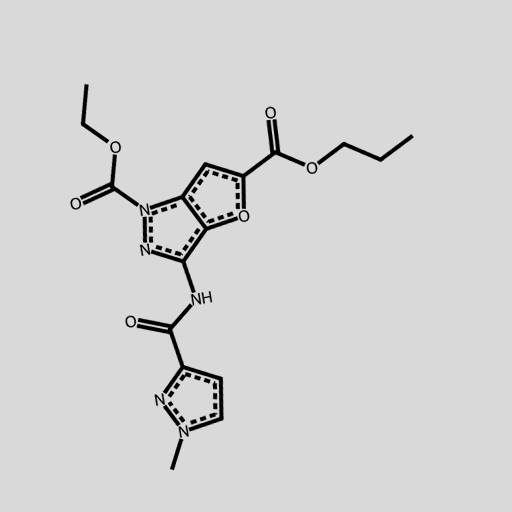 CCCOC(=O)c1cc2c(o1)c(NC(=O)c1ccn(C)n1)nn2C(=O)OCC